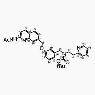 CC(=O)Nc1ccc2ccc(COc3cccc(CN(CCc4ccccn4)C(=O)OC(C)(C)C)c3)cc2n1